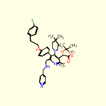 Cc1nc(CNCc2ccncc2)c(-c2ccc(OCCc3ccc(F)cc3)cc2)c(N2CCC(C)(C)CC2)c1[C@H](OC(C)(C)C)C(=O)O